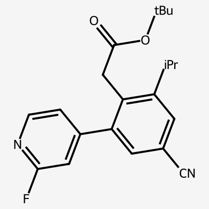 CC(C)c1cc(C#N)cc(-c2ccnc(F)c2)c1CC(=O)OC(C)(C)C